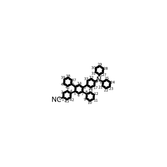 N#Cc1ccc(-c2cc(-c3ccccc3)c(-c3ccc(N(c4ccccc4)c4ccccc4)cc3)cc2-c2ccccc2)cc1